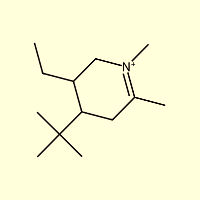 CCC1C[N+](C)=C(C)CC1C(C)(C)C